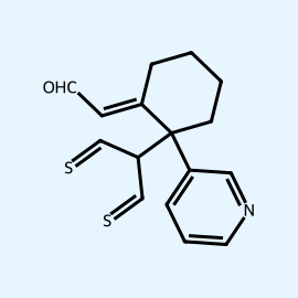 O=CC=C1CCCCC1(c1cccnc1)C(C=S)C=S